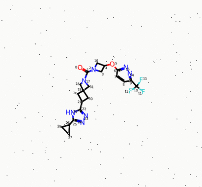 O=C(N1CC(Oc2ccc(C(F)(F)F)nn2)C1)N1CC2(CC(c3nnc(C4CC4)[nH]3)C2)C1